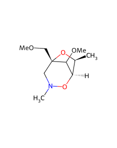 COC[C@]12CN(C)O[C@@H](C1OC)[C@H](C)O2